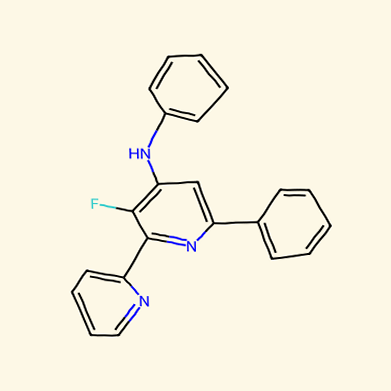 Fc1c(Nc2ccccc2)cc(-c2ccccc2)nc1-c1ccccn1